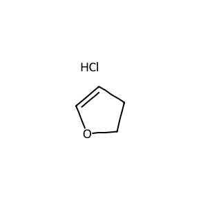 C1=COCC1.Cl